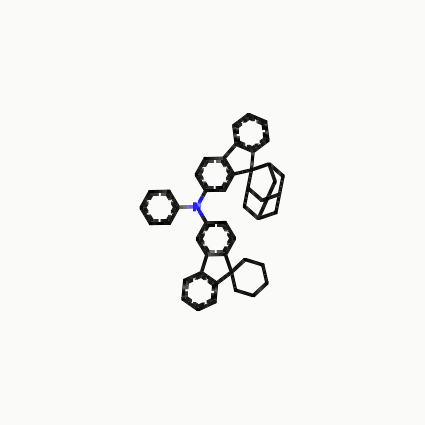 c1ccc(N(c2ccc3c(c2)-c2ccccc2C32CCCCC2)c2ccc3c(c2)C2(c4ccccc4-3)C3CC4CC(C3)CC2C4)cc1